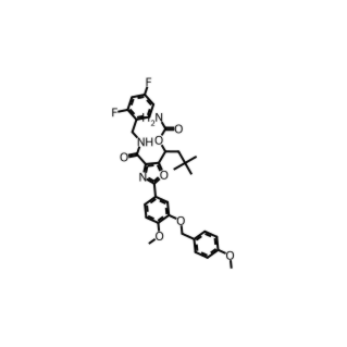 COc1ccc(COc2cc(-c3nc(C(=O)NCc4ccc(F)cc4F)c(C(CC(C)(C)C)OC(N)=O)o3)ccc2OC)cc1